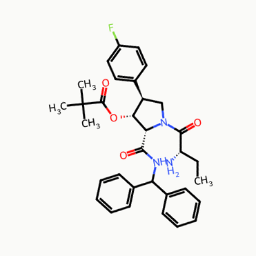 CC[C@H](N)C(=O)N1C[C@H](c2ccc(F)cc2)[C@@H](OC(=O)C(C)(C)C)[C@H]1C(=O)NC(c1ccccc1)c1ccccc1